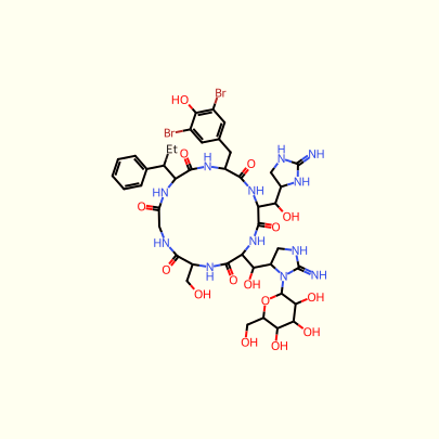 CCC(c1ccccc1)C1NC(=O)CNC(=O)C(CO)NC(=O)C(C(O)C2CNC(=N)N2C2OC(CO)C(O)C(O)C2O)NC(=O)C(C(O)C2CNC(=N)N2)NC(=O)C(Cc2cc(Br)c(O)c(Br)c2)NC1=O